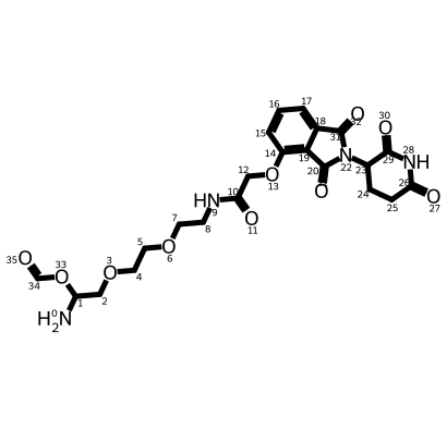 NC(COCCOCCNC(=O)COc1cccc2c1C(=O)N(C1CCC(=O)NC1=O)C2=O)OC=O